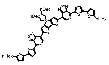 CCCCCCCCCCCC[Si]1(CCCCCCCCCCC)c2cc(-c3cnc(-c4ccc(-c5ccc(CCCCCC)s5)s4)c4nsnc34)sc2-c2sc(-c3cnc(-c4ccc(-c5ccc(CCCCCC)s5)s4)c4nsnc34)cc21